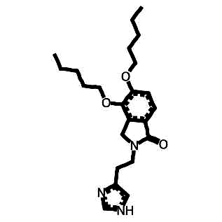 CCCCCOc1ccc2c(c1OCCCCC)CN(CCc1c[nH]cn1)C2=O